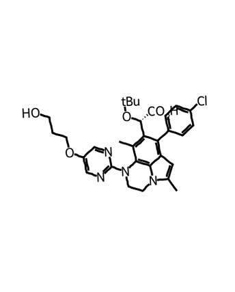 Cc1c([C@H](OC(C)(C)C)C(=O)O)c(-c2ccc(Cl)cc2)c2cc(C)n3c2c1N(c1ncc(OCCCO)cn1)CC3